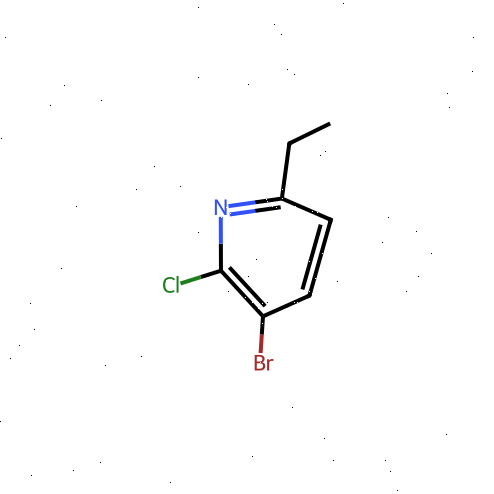 CCc1ccc(Br)c(Cl)n1